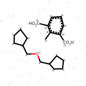 C1CCC(COCC2CCCC2)C1.Cc1c(C(=O)O)cccc1C(=O)O